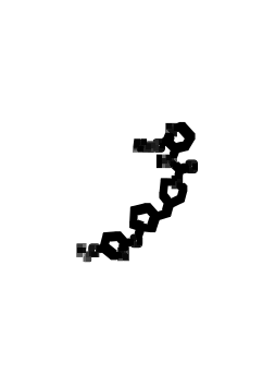 COc1ncccc1NC(=O)N1CCC(=Cc2cccc(Oc3ccc(C(F)(F)F)cn3)c2)CC1